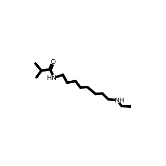 CCNCCCCCCCCNC(=O)C(C)C